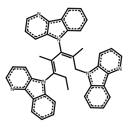 CC/C(=C(C)\C(=C(\C)Cn1c2ccccc2c2ncccc21)n1c2ccccc2c2ncccc21)n1c2ccccc2c2ncccc21